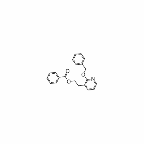 O=C(OCCc1cccnc1OCc1ccccc1)c1ccccc1